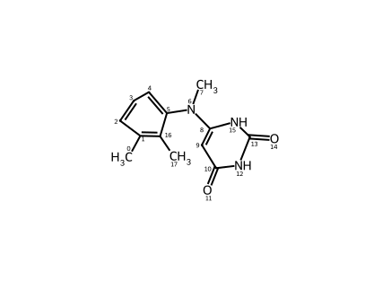 Cc1cccc(N(C)c2cc(=O)[nH]c(=O)[nH]2)c1C